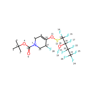 CC(C)(C)OC(=O)N1CC=C(OSC(F)(F)C(F)(OF)C(F)(F)C(F)(F)F)C(F)C1